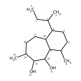 CCC(C)C1CCC(C)C2C(O)C(O)C(C)CCC12